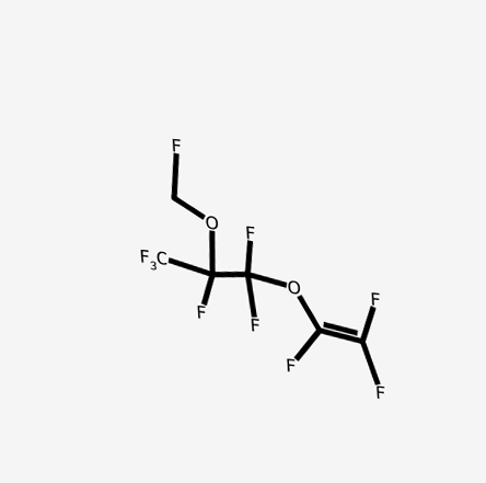 FCOC(F)(C(F)(F)F)C(F)(F)OC(F)=C(F)F